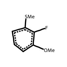 COc1cccc(SC)c1F